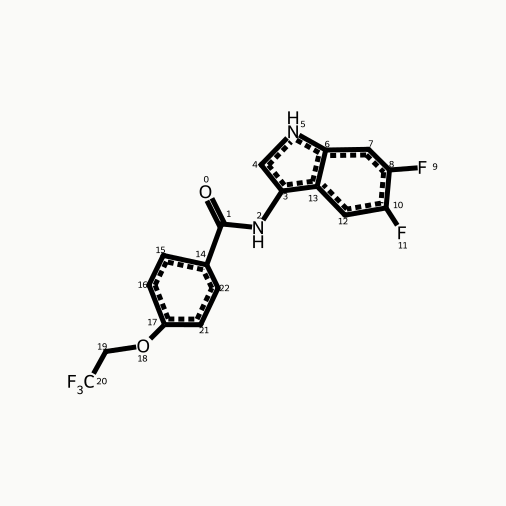 O=C(Nc1c[nH]c2cc(F)c(F)cc12)c1ccc(OCC(F)(F)F)cc1